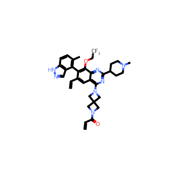 C=CC(=O)N1CC2(C1)CN(c1nc(C3CCN(C)CC3)nc3c(OCC(F)(F)F)c(-c4c(C)ccc5[nH]ncc45)c(C=C)cc13)C2